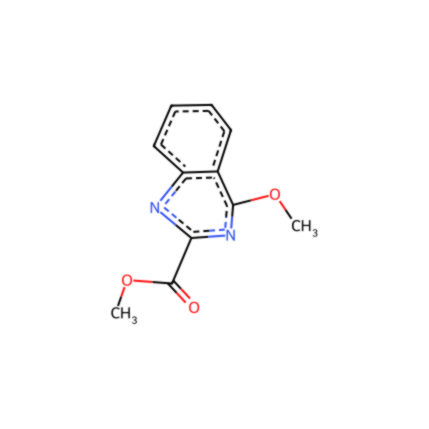 COC(=O)c1nc(OC)c2ccccc2n1